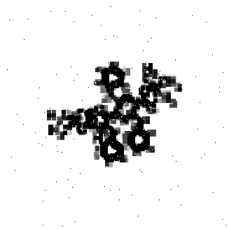 CC(C)(C)OC(=O)N[C@H](Cc1ccccc1)C(=O)N1C[C@H](Cc2ccccc2)N(C(=O)OC(C)(C)C)C[C@H]1Cc1ccccc1